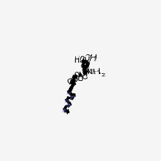 CC/C=C\C/C=C\C/C=C\C/C=C\C/C=C\CCCC(=O)OC(C)OC(=O)OC(=O)[C@](C)(Cc1ccc(O)c(O)c1)NN